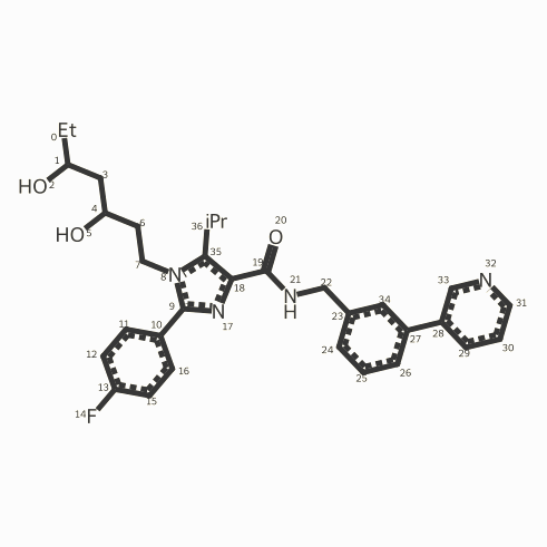 [CH2]CC(O)CC(O)CCn1c(-c2ccc(F)cc2)nc(C(=O)NCc2cccc(-c3cccnc3)c2)c1C(C)C